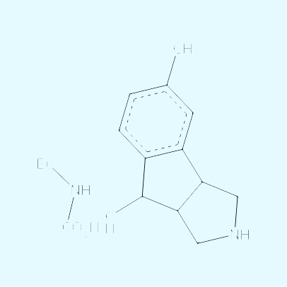 CCNC(=O)O.Cc1ccc2c(c1)C1CNCC1C2C